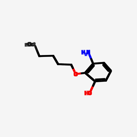 CCCCCCCCCCCCOc1c(N)cccc1O